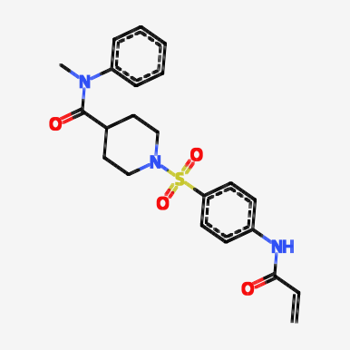 C=CC(=O)Nc1ccc(S(=O)(=O)N2CCC(C(=O)N(C)c3ccccc3)CC2)cc1